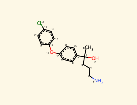 CC(O)(CCCN)c1ccc(Oc2ccc(Cl)cc2)cc1